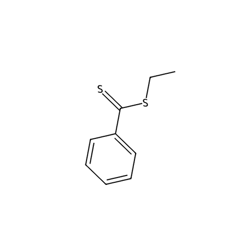 CCSC(=S)c1ccccc1